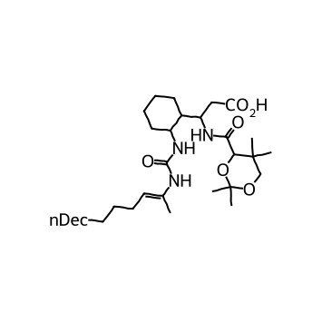 CCCCCCCCCCCCCC=C(C)NC(=O)NC1CCCCC1C(CC(=O)O)NC(=O)C1OC(C)(C)OCC1(C)C